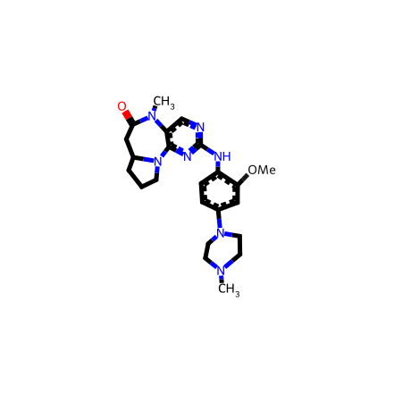 COc1cc(N2CCN(C)CC2)ccc1Nc1ncc2c(n1)N1CCCC1CC(=O)N2C